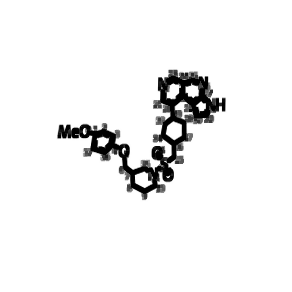 COc1ccc(OCC2CCCN(S(=O)(=O)CC3CCC(c4cncc5cnc6[nH]ccc6c45)CC3)C2)cc1